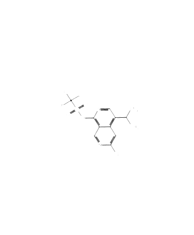 CC(C)c1cnc(OS(=O)(=O)C(F)(F)F)c2cnc(Cl)cc12